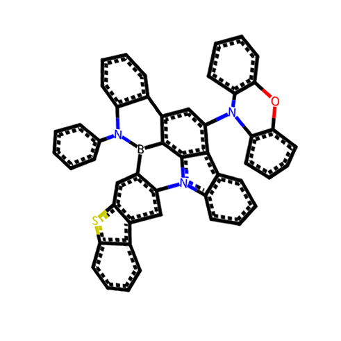 c1ccc(N2B3c4cc5sc6ccccc6c5cc4-n4c5ccccc5c5c(N6c7ccccc7Oc7ccccc76)cc(c3c54)-c3ccccc32)cc1